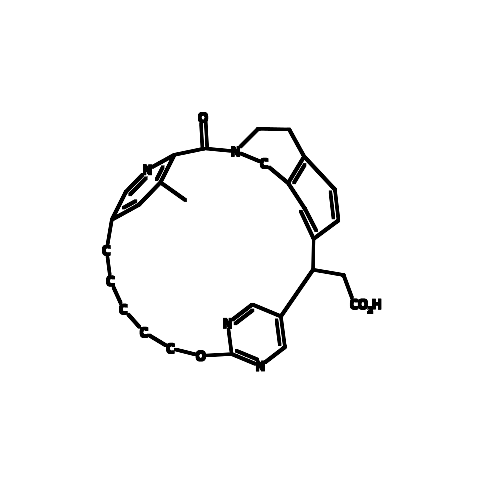 Cc1cc2cnc1C(=O)N1CCc3ccc(cc3C1)C(CC(=O)O)c1cnc(nc1)OCCCCC2